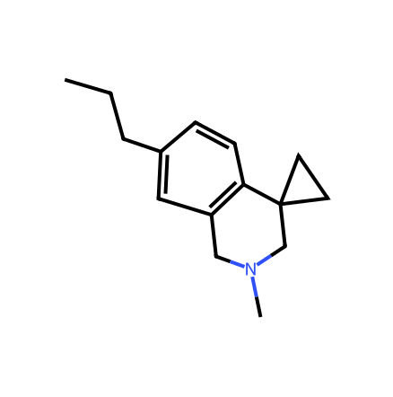 CCCc1ccc2c(c1)CN(C)CC21CC1